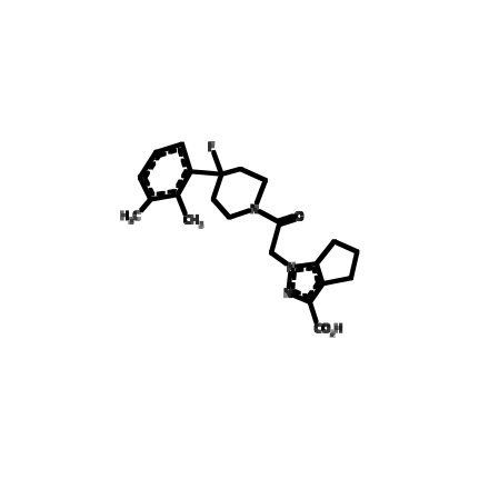 Cc1cccc(C2(F)CCN(C(=O)Cn3nc(C(=O)O)c4c3CCC4)CC2)c1C